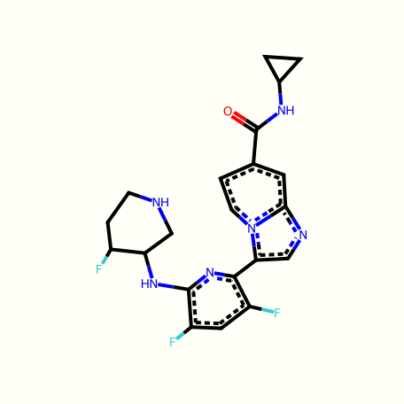 O=C(NC1CC1)c1ccn2c(-c3nc(NC4CNCCC4F)c(F)cc3F)cnc2c1